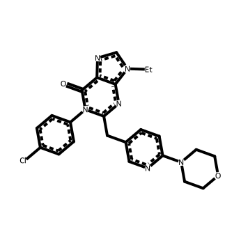 CCn1cnc2c(=O)n(-c3ccc(Cl)cc3)c(Cc3ccc(N4CCOCC4)nc3)nc21